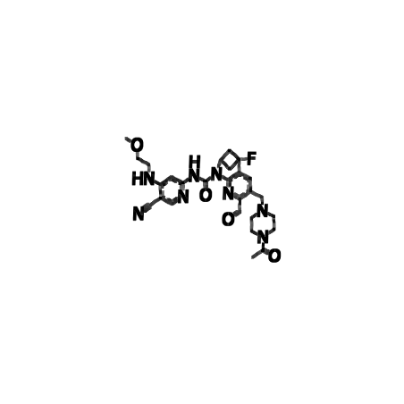 COCCNc1cc(NC(=O)N2c3nc(C=O)c(CN4CCN(C(C)=O)CC4)cc3C3(F)CC2C3)ncc1C#N